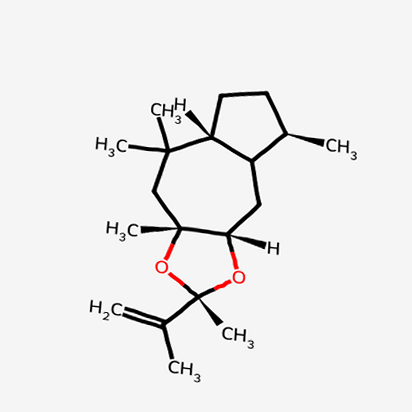 C=C(C)[C@@]1(C)O[C@H]2CC3[C@H](C)CC[C@H]3C(C)(C)C[C@@]2(C)O1